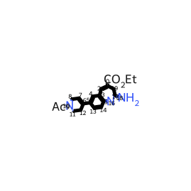 CCOC(=O)C1=Cc2cc(C3=CCN(C(C)=O)CC3)ccc2N=C(N)C1